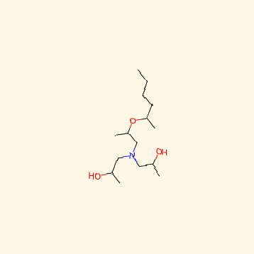 CCCCC(C)OC(C)CN(CC(C)O)CC(C)O